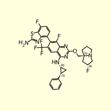 Nc1nc2c(-c3c(C(F)(F)F)cc4c(N[C@@H]5C[C@H]5c5ccccc5)nc(OC[C@@]56CCCN5C[C@H](F)C6)nc4c3F)ccc(F)c2s1